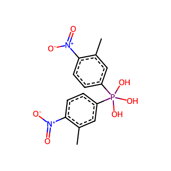 Cc1cc(P(O)(O)(O)c2ccc([N+](=O)[O-])c(C)c2)ccc1[N+](=O)[O-]